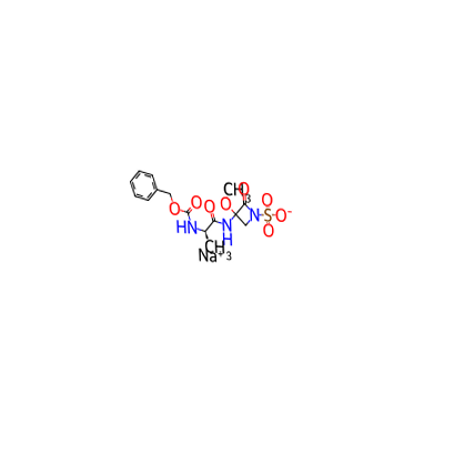 COC1(NC(=O)[C@@H](C)NC(=O)OCc2ccccc2)CN(S(=O)(=O)[O-])C1=O.[Na+]